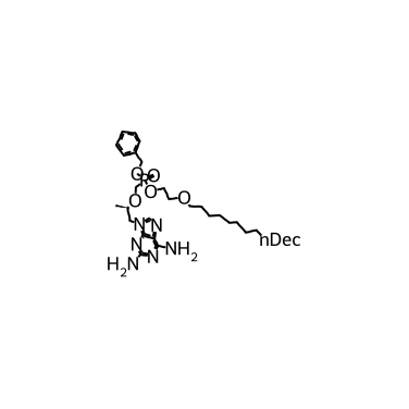 CCCCCCCCCCCCCCCCCCOCCOP(=O)(CO[C@H](C)Cn1cnc2c(N)nc(N)nc21)OCc1ccccc1